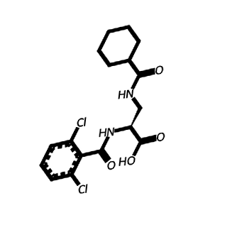 O=C(N[C@@H](CNC(=O)C1CCCCC1)C(=O)O)c1c(Cl)cccc1Cl